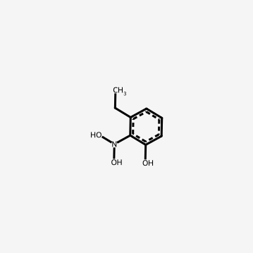 CCc1cccc(O)c1N(O)O